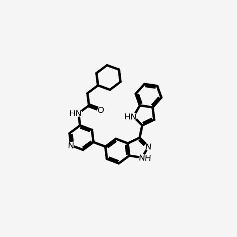 O=C(CC1CCCCC1)Nc1cncc(-c2ccc3[nH]nc(-c4cc5ccccc5[nH]4)c3c2)c1